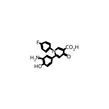 Nc1cc(-c2cc(=O)c(C(=O)O)cn2-c2ccc(F)cc2)ccc1O